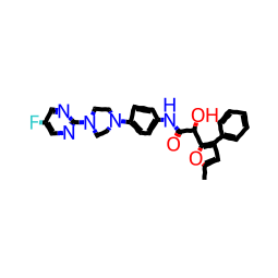 Cc1cc(-c2ccccc2)c(C(O)C(=O)Nc2ccc(N3CCN(c4ncc(F)cn4)CC3)cc2)o1